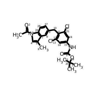 CC(=O)n1cc(C)c2cc(Cc3c(Cl)cc(NC(=O)OC(C)(C)C)cc3Cl)ccc21